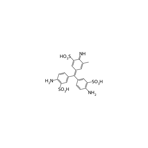 CC1=CC(=C(c2ccc(N)c(S(=O)(=O)O)c2)c2ccc(N)c(S(=O)(=O)O)c2)C=C(S(=O)(=O)O)C1=N